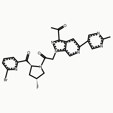 CC(=O)c1nn(CC(=O)N2C[C@H](F)C[C@H]2C(=O)c2cccc(Br)n2)c2cnc(-c3cnc(C)nc3)cc12